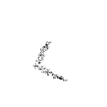 O=P([O-])([O-])[O-].O=P([O-])([O-])[O-].O=P([O-])([O-])[O-].O=P([O-])([O-])[O-].O=P([O-])([O-])[O-].O=P([O-])([O-])[O-].O=P([O-])([O-])[O-].[Al+3].[Al+3].[Al+3].[Ca+2].[Ca+2].[Ca+2].[Mg+2].[Mg+2].[Mg+2]